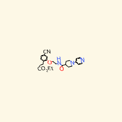 CCOC(=O)CCc1ccc(C#N)cc1OCCNC(=O)C1CCN(c2ccncc2)CC1